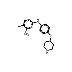 Cc1cnc(Nc2ccc(OC3CCNCC3)cc2)nc1N